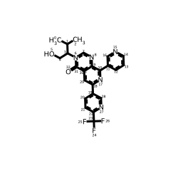 CC(C)C(CO)n1cnc2c(-c3cccnc3)nc(-c3ccc(C(F)(F)F)nc3)cc2c1=O